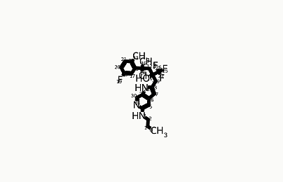 CCCNc1cc2cc(CC(O)(CC(C)(C)c3cc(F)ccc3C)C(F)(F)F)[nH]c2cn1